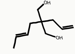 C=CCC(CO)(CO)C/C=C/C